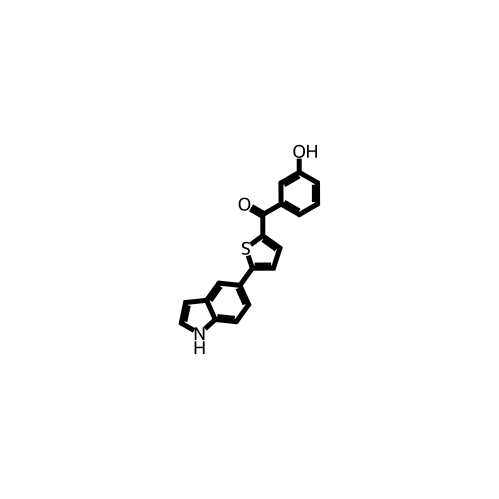 O=C(c1cccc(O)c1)c1ccc(-c2ccc3[nH]ccc3c2)s1